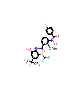 CCN(C(=O)c1ccc(F)cc1)c1cccc(C(=O)Nc2c(O)cc(C(F)(C(F)(F)F)C(F)(F)F)cc2OC(F)F)c1OC